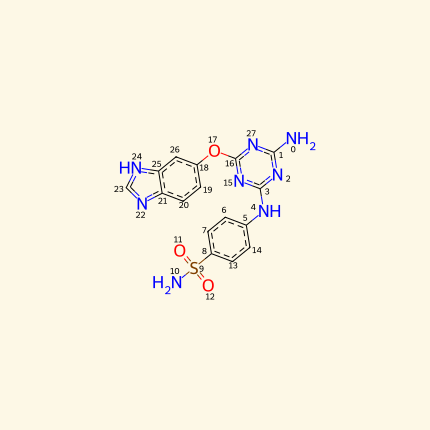 Nc1nc(Nc2ccc(S(N)(=O)=O)cc2)nc(Oc2ccc3nc[nH]c3c2)n1